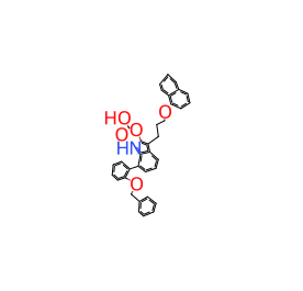 O=C(O)Oc1[nH]c2c(-c3ccccc3OCc3ccccc3)cccc2c1CCCOc1cccc2ccccc12